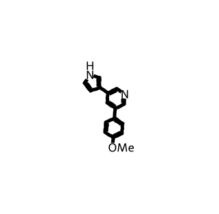 COc1ccc(-c2cncc(-c3cc[nH]c3)c2)cc1